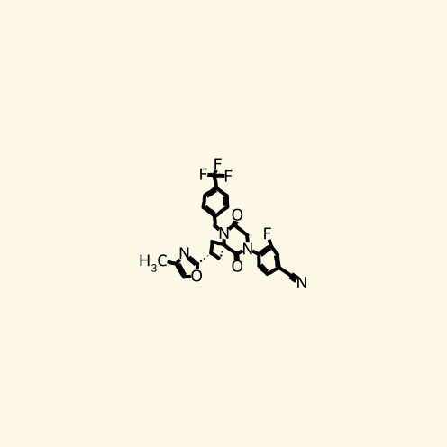 Cc1coc([C@H]2C[C@@]3(C2)C(=O)N(c2ccc(C#N)cc2F)CC(=O)N3Cc2ccc(C(F)(F)F)cc2)n1